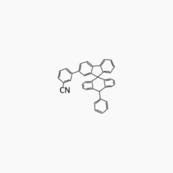 N#Cc1cccc(-c2ccc3c(c2)C2(c4ccccc4-3)c3ccccc3C(c3ccccc3)c3ccccc32)c1